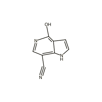 N#Cc1cnc(O)c2cc[nH]c12